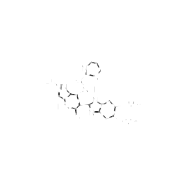 CC[C@H](Nc1c(-c2nc3cc(OC)c(OC)cc3[nH]2)c(=O)[nH]c2cn(CC)nc12)c1ncccn1